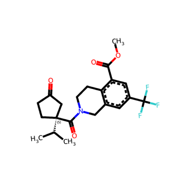 COC(=O)c1cc(C(F)(F)F)cc2c1CCN(C(=O)[C@@]1(C(C)C)CCC(=O)C1)C2